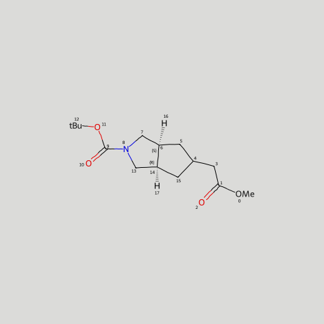 COC(=O)CC1C[C@@H]2CN(C(=O)OC(C)(C)C)C[C@@H]2C1